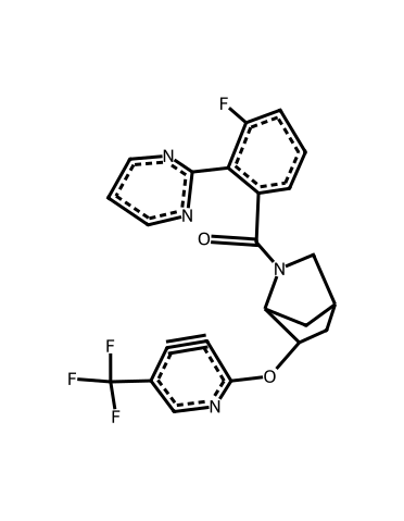 O=C(c1cccc(F)c1-c1ncccn1)N1CC2CC(Oc3c#cc(C(F)(F)F)cn3)C1C2